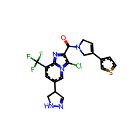 O=C(c1nc2c(C(F)(F)F)cc(C3C=NNC3)cn2c1Cl)N1CC=C(c2ccsc2)C1